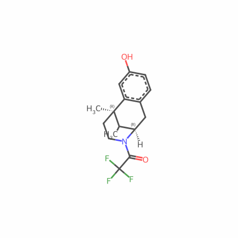 CC1[C@H]2Cc3ccc(O)cc3[C@]1(C)CCN2C(=O)C(F)(F)F